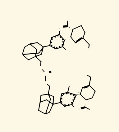 C=C(C)[C@H]1CCC(CO)=C[C@@H]1c1c(O)cc(C23CC4CC(CC(CO[N+](=O)OCC56CC7CC(C5)CC(c5cc(O)c([C@H]8C=C(CO)CC[C@@H]8C(=C)C)c(O)c5)(C7)C6)(C4)C2)C3)cc1O